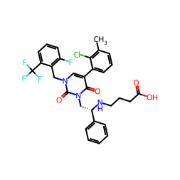 Cc1cccc(-c2cn(Cc3c(F)cccc3C(F)(F)F)c(=O)n(C[C@H](NCCCC(=O)O)c3ccccc3)c2=O)c1Cl